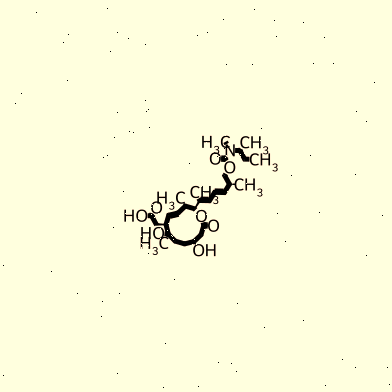 CCC(C)N(C)C(=O)OC[C@H](C)/C=C/C=C(\C)[C@H]1OC(=O)C[C@H](O)CC[C@@](C)(O)[C@@H](CC(=O)O)/C=C/[C@@H]1C